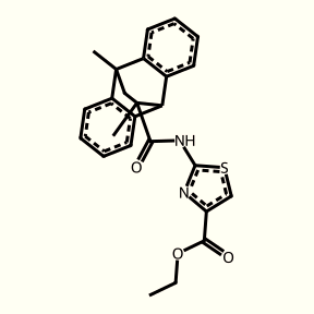 CCOC(=O)c1csc(NC(=O)C2(C)CC3(C)c4ccccc4C2c2ccccc23)n1